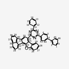 c1ccc(-c2ccc(-c3nc(-c4ccccc4)nc(-c4cc5c(c6oc7ccccc7c46)-c4cccc6cccc-5c46)n3)cc2)cc1